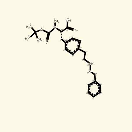 CN(C(=O)OC(C)(C)C)[C@@H](Cc1ccc(CCNOCc2ccccc2)cc1)C(=O)O